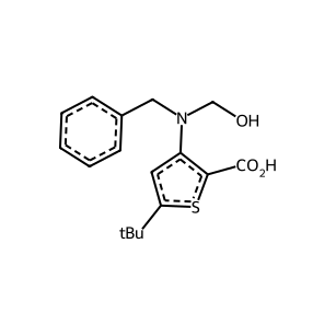 CC(C)(C)c1cc(N(CO)Cc2ccccc2)c(C(=O)O)s1